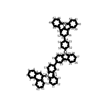 c1ccc2c(c1)cc(-n1c3ccccc3c3cc(-c4ccc5c(c4)c4ccccc4n5-c4ccc(-c5cc6c7ccccc7n7c8ccccc8c(c5)c67)cc4)ccc31)c1ccccc12